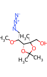 CO[C@H](CN=[N+]=[N-])[C@H]1OC(C)(C)O[C@]1(C)CO